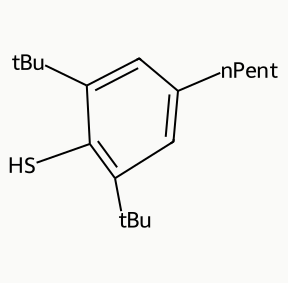 CCCCCc1cc(C(C)(C)C)c(S)c(C(C)(C)C)c1